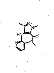 Cc1nn(C)c2c1Nc1ncccc1N(C)C2=O